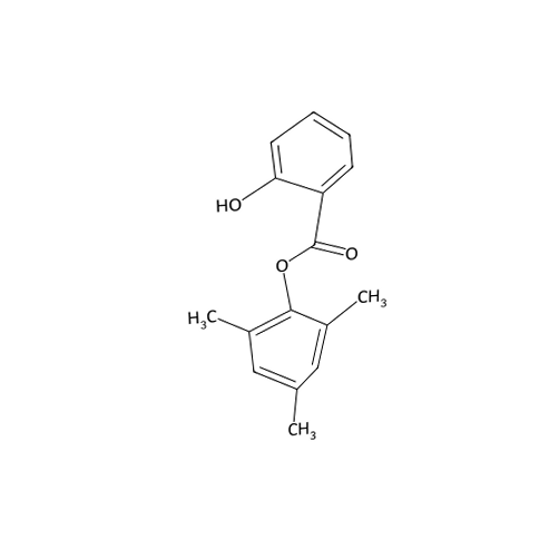 Cc1cc(C)c(OC(=O)c2ccccc2O)c(C)c1